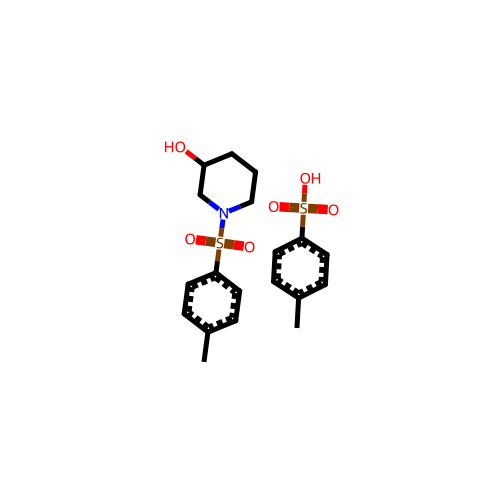 Cc1ccc(S(=O)(=O)N2CCCC(O)C2)cc1.Cc1ccc(S(=O)(=O)O)cc1